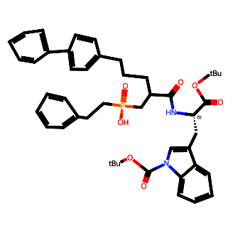 CC(C)(C)OC(=O)[C@H](Cc1cn(C(=O)OC(C)(C)C)c2ccccc12)NC(=O)C(CCCc1ccc(-c2ccccc2)cc1)CP(=O)(O)CCc1ccccc1